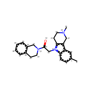 Cc1ccc2c(c1)c1c(n2CC(=O)N2CCc3ccccc3C2)CCN(C)C1